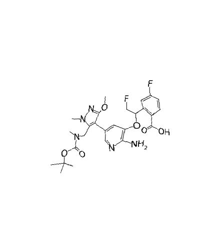 COc1nn(C)c(CN(C)C(=O)OC(C)(C)C)c1-c1cnc(N)c(OC(CF)c2cc(F)ccc2C(=O)O)c1